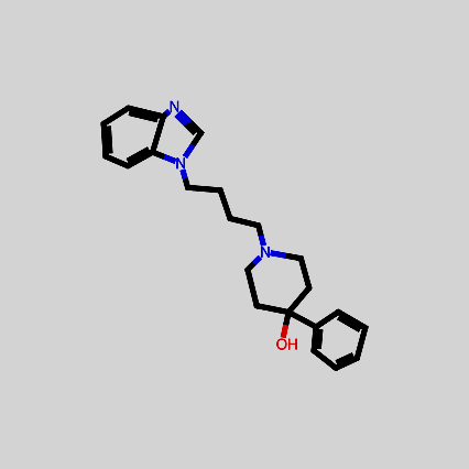 OC1(c2ccccc2)CCN(CCCCn2cnc3ccccc32)CC1